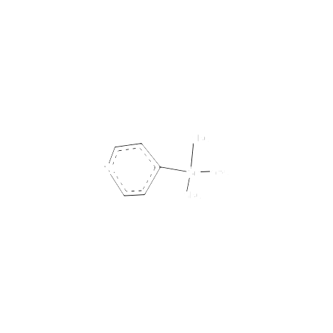 [CH2+]CC[CH2][Sn]([CH2]CCC)([CH2]CCC)[c]1ccncc1